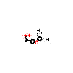 Cc1cc(C)cc(Oc2ccc(C3CC3C(=O)O)cc2)c1